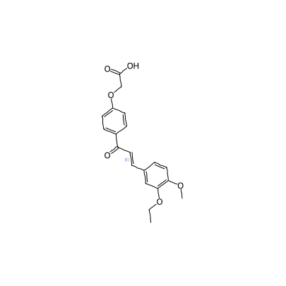 CCOc1cc(/C=C/C(=O)c2ccc(OCC(=O)O)cc2)ccc1OC